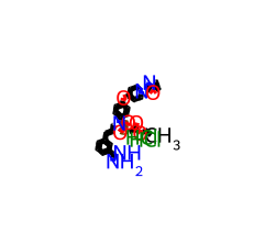 CCOC(=O)CS(=O)(=O)N(C/C=C/c1cccc(C(=N)N)c1)c1ccc(OC2CCN(C3=NCCO3)CC2)cc1.Cl.Cl